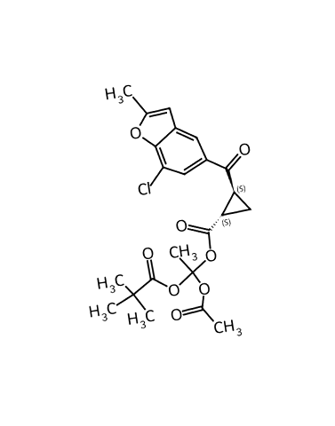 CC(=O)OC(C)(OC(=O)[C@H]1C[C@@H]1C(=O)c1cc(Cl)c2oc(C)cc2c1)OC(=O)C(C)(C)C